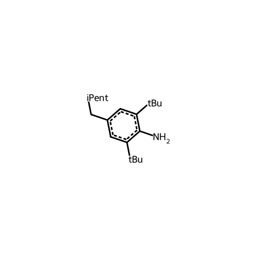 CCCC(C)Cc1cc(C(C)(C)C)c(N)c(C(C)(C)C)c1